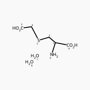 NC(CSCC(=O)O)C(=O)O.O.O